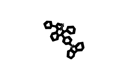 C1=Cc2c(c3ccccc3n2-c2ccc(-c3c(-c4ccccc4)n4ncc(-c5ccccc5)c4c4ccccc34)cc2)CC1